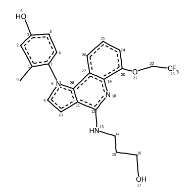 Cc1cc(O)ccc1-n1ccc2c(NCCCO)nc3c(OCC(F)(F)F)cccc3c21